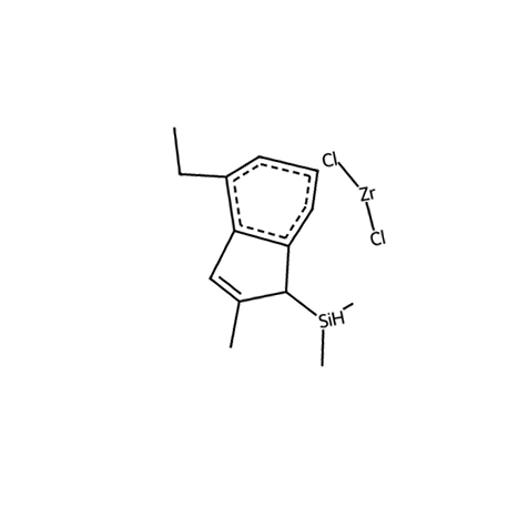 CCc1cccc2c1C=C(C)C2[SiH](C)C.[Cl][Zr][Cl]